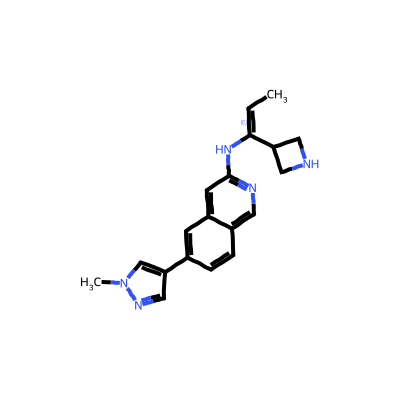 C/C=C(/Nc1cc2cc(-c3cnn(C)c3)ccc2cn1)C1CNC1